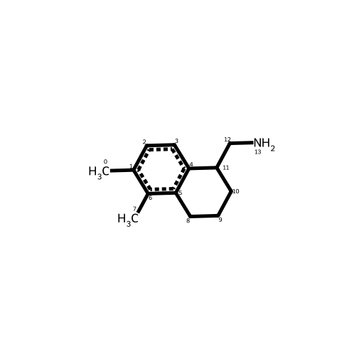 Cc1ccc2c(c1C)CCCC2CN